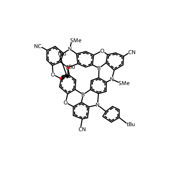 CSN1c2cc3c(cc2B2c4cc(C(C)(C)C)ccc4Oc4cc(C#N)cc1c42)B1c2cc4c(cc2N(SC)c2cc(C#N)cc(c21)O3)N(c1ccc(C(C)(C)C)cc1)c1cc(C#N)cc2c1B4c1cc(C(C)(C)C)ccc1O2